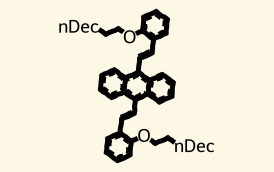 CCCCCCCCCCCCOc1ccccc1C=Cc1c2ccccc2c(C=Cc2ccccc2OCCCCCCCCCCCC)c2ccccc12